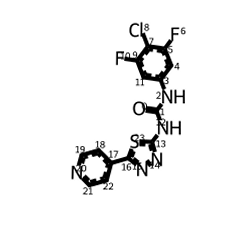 O=C(Nc1cc(F)c(Cl)c(F)c1)Nc1nnc(-c2ccncc2)s1